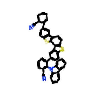 N#Cc1ccccc1-c1ccc2sc3c(ccc4sc5ccc(-c6cccc(C#N)c6-n6c7ccccc7c7ccccc76)cc5c43)c2c1